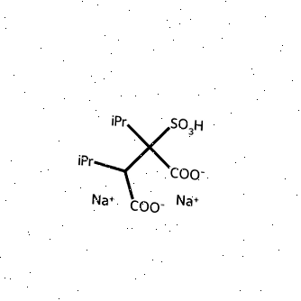 CC(C)C(C(=O)[O-])C(C(=O)[O-])(C(C)C)S(=O)(=O)O.[Na+].[Na+]